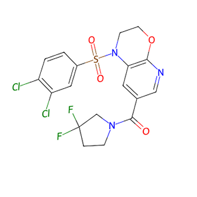 O=C(c1cnc2c(c1)N(S(=O)(=O)c1ccc(Cl)c(Cl)c1)CCO2)N1CCC(F)(F)C1